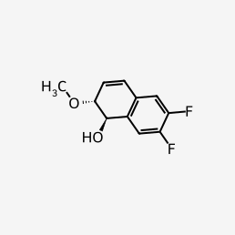 CO[C@@H]1C=Cc2cc(F)c(F)cc2[C@H]1O